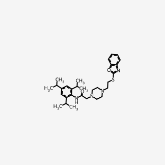 CC(C)c1cc(C(C)C)c(NC(=O)CN2CCN(CCSc3nc4ccccc4o3)CC2)c(C(C)C)c1